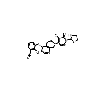 N#Cc1cccc(Oc2ncnc3c2CCN(c2cnn(C4NCCO4)c(=O)c2Cl)C3)c1Cl